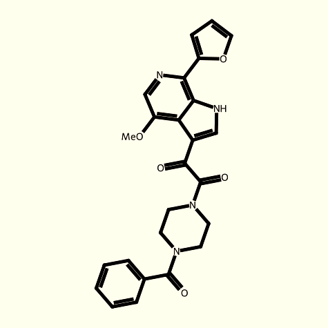 COc1cnc(-c2ccco2)c2[nH]cc(C(=O)C(=O)N3CCN(C(=O)c4ccccc4)CC3)c12